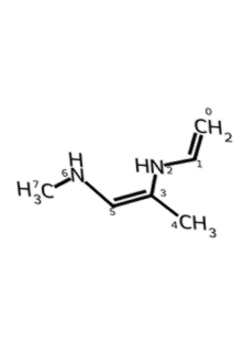 C=CN/C(C)=C\NC